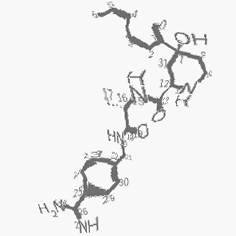 C=C(/C=C\C=C/C)[C@]1(O)CCN[C@@H](C(=O)N[C@@H](C)C(=O)NCc2ccc(C(=N)N)cc2)C1